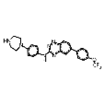 FC(F)(F)Oc1ccc(-c2ccc3nnc(Nc4ccc(N5CCNCC5)cc4)nc3c2)cc1